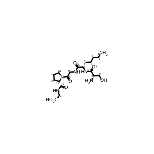 NCCCC[C@H](NC(=O)[C@@H](N)CO)C(=O)NCC(=O)N1CCC[C@H]1C(=O)NCC(=O)O